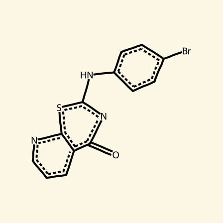 O=c1nc(Nc2ccc(Br)cc2)sc2ncccc12